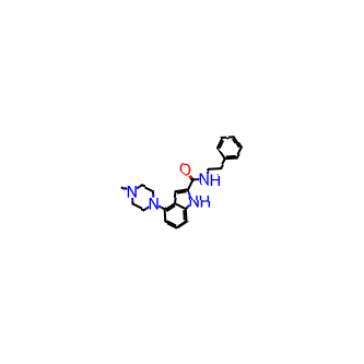 CN1CCN(c2cccc3[nH]c(C(=O)NCCc4ccccc4)cc23)CC1